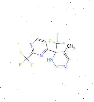 CC1=[C]N=CNC1(c1ccnc(C(F)(F)F)n1)C(F)(F)F